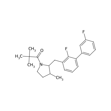 CC1CCN(C(=O)C(C)(C)C)C1Cc1cccc(-c2cccc(F)c2)c1F